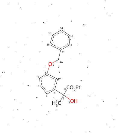 CCOC(=O)C(C)(O)c1cccc(OCc2ccccc2)c1